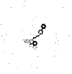 CCOC(=O)N(CCCCN1CC=C(c2ccccc2)CC1)c1cccc([N+](=O)[O-])c1C(=O)OC